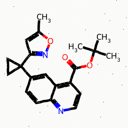 Cc1cc(C2(c3ccc4nccc(C(=O)OC(C)(C)C)c4c3)CC2)no1